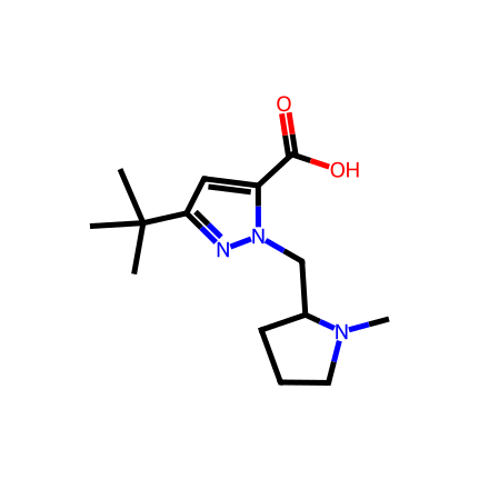 CN1CCCC1Cn1nc(C(C)(C)C)cc1C(=O)O